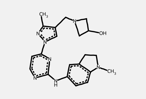 Cc1nn(-c2ccnc(Nc3ccc4c(c3)CCN4C)n2)cc1CN1CC(O)C1